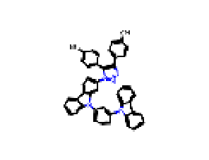 N#Cc1ccc(-c2nnn(-c3ccc4c5ccccc5n(-c5cccc(-n6c7ccccc7c7ccccc76)c5)c4c3)c2-c2ccc(C#N)cc2)cc1